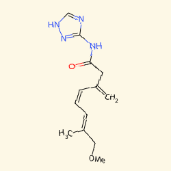 C=C(/C=C\C=C(/C)COC)CC(=O)Nc1nc[nH]n1